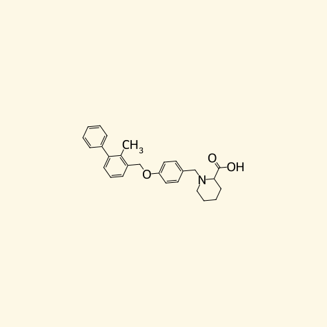 Cc1c(COc2ccc(CN3CCCCC3C(=O)O)cc2)cccc1-c1ccccc1